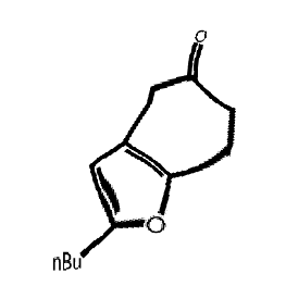 CCCCc1cc2c(o1)CCC(=O)C2